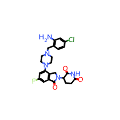 Nc1cc(Cl)ccc1CN1CCN(c2cc(F)cc3c2CN(C2CCC(=O)NC2=O)C3=O)CC1